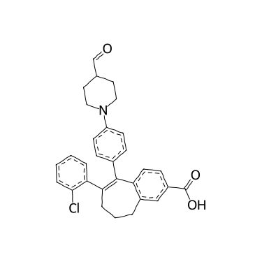 O=CC1CCN(c2ccc(C3=C(c4ccccc4Cl)CCCc4cc(C(=O)O)ccc43)cc2)CC1